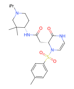 Cc1ccc(S(=O)(=O)N2C=CNC(=O)[C@H]2CC(=O)N[C@H]2CCN(C(C)C)CC2(C)C)cc1